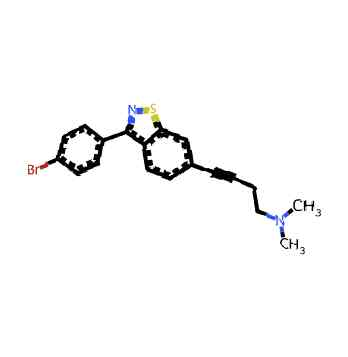 CN(C)CCC#Cc1ccc2c(-c3ccc(Br)cc3)nsc2c1